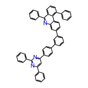 c1ccc(-c2cc(-c3ccc(-c4cccc(-c5ccc6c(c5)nc(-c5ccccc5)c5cccc(-c7ccccc7)c56)c4)cc3)nc(-c3ccccc3)n2)cc1